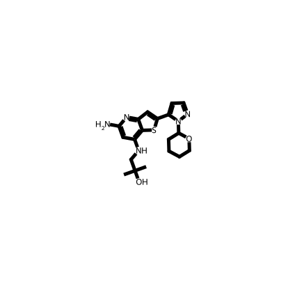 CC(C)(O)CNc1cc(N)nc2cc(-c3ccnn3C3CCCCO3)sc12